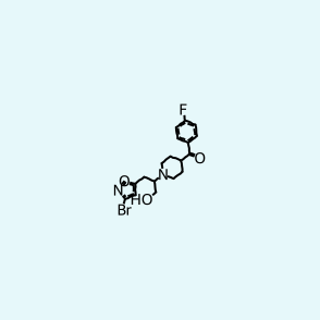 O=C(c1ccc(F)cc1)C1CCN(C(CO)Cc2cc(Br)no2)CC1